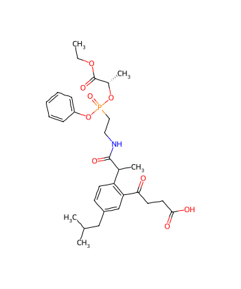 CCOC(=O)[C@H](C)OP(=O)(CCNC(=O)C(C)c1ccc(CC(C)C)cc1C(=O)CCC(=O)O)Oc1ccccc1